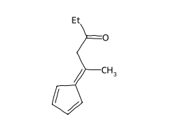 CCC(=O)CC(C)=C1C=CC=C1